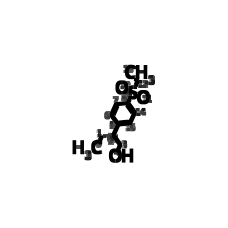 CC[C@@H](CO)c1ccc(S(=O)(=O)CC)cc1